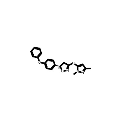 Cc1cc(OC2=NO[C@@H](c3ccc(Oc4ccccc4)cc3)C2)n(C)n1